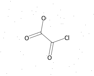 [O]C(=O)C(=O)Cl